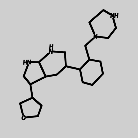 C1CCC(C2CNC3NCC(C4CCOC4)C3C2)C(CN2CCNCC2)C1